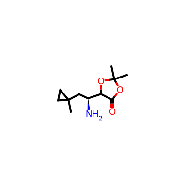 CC1(C[C@H](N)C2OC(C)(C)OC2=O)CC1